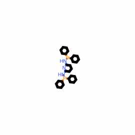 c1ccc(P(Nc2cccc(NP(c3ccccc3)c3ccccc3)n2)c2ccccc2)cc1